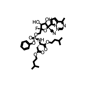 Cc1ncnn2c([C@]3(C#N)O[C@](F)(COP(=O)(N[C@@H](CC(=O)OCCC(C)C)C(=O)OCCC(C)C)Oc4ccccc4)[C@@H](O)[C@H]3O)ccc12